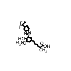 C=C(CCCCc1cc(OC)c(O)c(-n2nc3ccc(C(F)(F)F)cc3n2)c1)C(=O)O